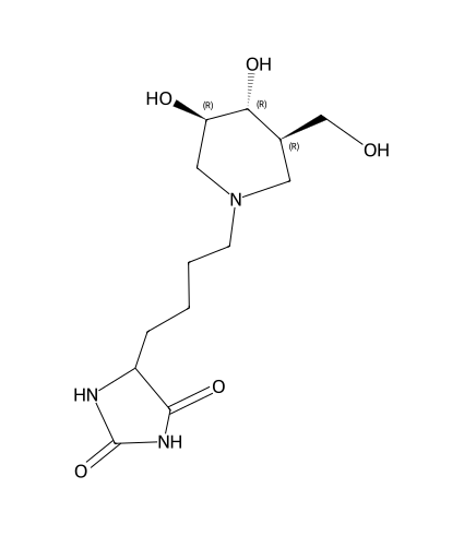 O=C1NC(=O)C(CCCCN2C[C@H](CO)[C@@H](O)[C@H](O)C2)N1